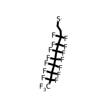 FC(F)(F)C(F)(F)C(F)(F)C(F)(F)C(F)(F)C(F)(F)C(F)(F)C(F)(F)CC[S]